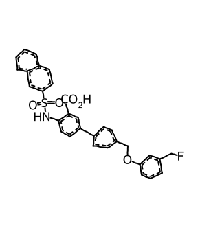 O=C(O)c1cc(-c2ccc(COc3cccc(CF)c3)cc2)ccc1NS(=O)(=O)c1ccc2ccccc2c1